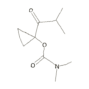 CC(C)C(=O)C1(OC(=O)N(C)C)CC1